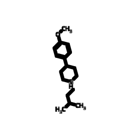 COc1ccc(C2CC[SiH](CCC(C)C)CC2)cc1